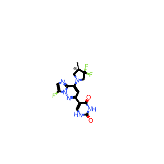 C[C@@H]1CN(c2cc(-c3c[nH]c(=O)[nH]c3=O)nn3c(F)cnc23)CC1(F)F